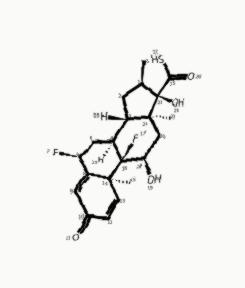 C[C@@H]1C[C@H]2[C@@H]3C[C@H](F)C4=CC(=O)C=C[C@]4(C)[C@@]3(F)[C@H](O)C[C@]2(C)[C@@]1(O)C(=O)S